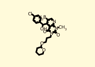 Bc1cnc2c(c1C(O)c1ccc(Cl)cc1)c(=O)n(CCCOC1CCCCO1)c(=O)n2C